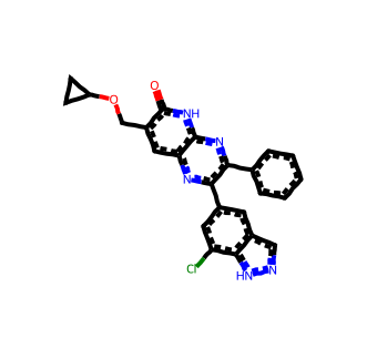 O=c1[nH]c2nc(-c3ccccc3)c(-c3cc(Cl)c4[nH]ncc4c3)nc2cc1COC1CC1